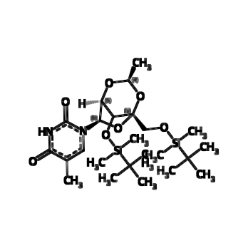 Cc1cn([C@@H]2O[C@@]3(CO[Si](C)(C)C(C)(C)C)O[C@H](C)O[C@H]2C3O[Si](C)(C)C(C)(C)C)c(=O)[nH]c1=O